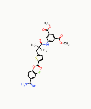 COC(=O)c1cc(NC(=O)C(C)(C)Cc2ccc(C(=O)Oc3ccc(C(=N)N)cc3F)s2)cc(C(=O)OC)c1